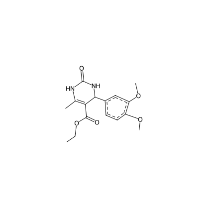 CCOC(=O)C1=C(C)NC(=O)NC1c1ccc(OC)c(OC)c1